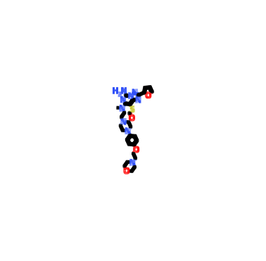 CN(CCN1CCN(c2ccc(OCCN3CCOCC3)cc2)CC1)c1nc(N)n2nc(-c3ccco3)nc2c1SC=O